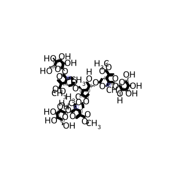 C/C=C1\[C@H](O[C@@H]2O[C@H](CO)[C@@H](O)[C@H](O)[C@H]2O)OC=C(C(=O)OC)[C@H]1CC(=O)OC[C@@H](CO)[C@@H]1C[C@H](OC(=O)C[C@@H]2C(C(=O)OC)=CO[C@@H](O[C@@H]3O[C@H](CO)[C@@H](O)[C@H](O)[C@H]3O)/C2=C\C)[C@@H](C)[C@H]1COC(=O)C[C@@H]1C(C(=O)OC)=CO[C@@H](O[C@@H]2O[C@H](CO)[C@@H](O)[C@H](O)[C@H]2O)/C1=C/C